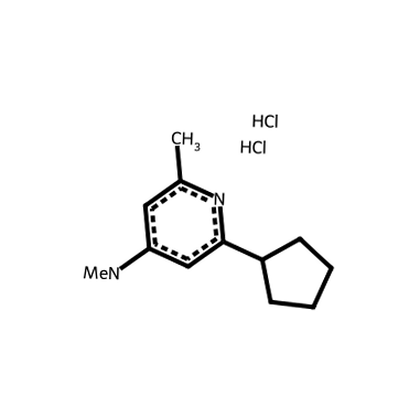 CNc1cc(C)nc(C2CCCC2)c1.Cl.Cl